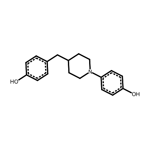 Oc1ccc(CC2CCN(c3ccc(O)cc3)CC2)cc1